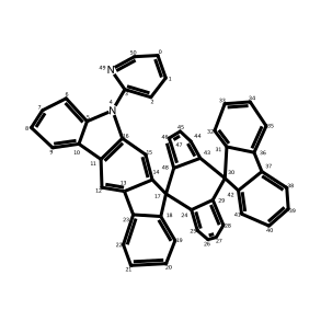 c1ccc(-n2c3ccccc3c3cc4c(cc32)C2(c3ccccc3-4)c3ccccc3C3(c4ccccc4-c4ccccc43)c3ccccc32)nc1